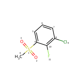 CS(=O)(=O)c1cccc(Cl)c1F